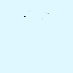 C[C@@]12[C@H]3C[CH][C@@H](C3)[C@@H]1CN(c1ccc(C#N)c(C(F)(F)F)c1)S2(=O)=O